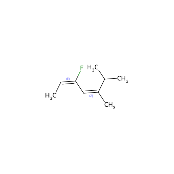 C/C=C(F)\C=C(\C)C(C)C